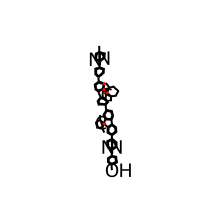 Cc1cnc(-c2ccc(-c3ccc4c(c3)C3(c5cc(-c6ccc7c(c6)C6(c8cc(-c9cnc(-c%10ccc(O)cc%10)nc9)ccc8-7)C7(C)CCC6(C)CC7)ccc5-4)C4(C)CCCC3(C)CCC4)cc2)nc1